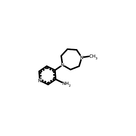 CN1CCCN(c2ccncc2N)CC1